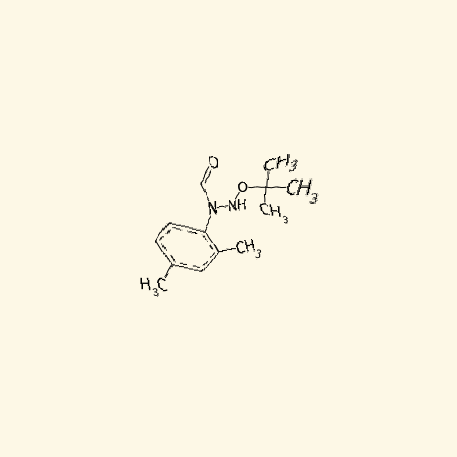 Cc1ccc(N(C=O)NOC(C)(C)C)c(C)c1